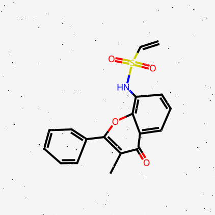 C=CS(=O)(=O)Nc1cccc2c(=O)c(C)c(-c3ccccc3)oc12